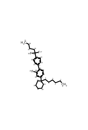 CCCCCCC1(c2ccc(-c3ccc(C(F)(F)CCCC)cc3)c(F)c2)CCCCC1